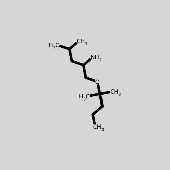 CCCC(C)(C)OCC(N)CC(C)C